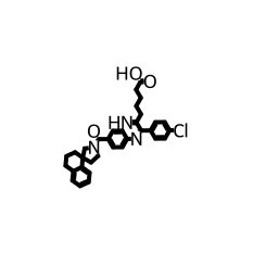 N=C(CCCCC(=O)O)/C(=N\c1ccc(C(=O)N2CCC3(CCCc4ccccc43)C2)cc1)c1ccc(Cl)cc1